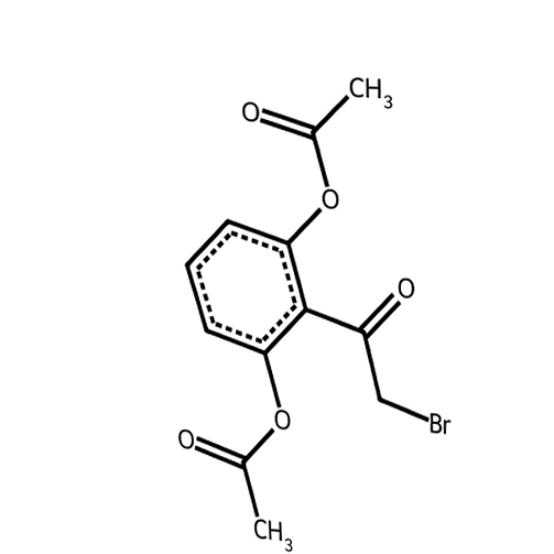 CC(=O)Oc1cccc(OC(C)=O)c1C(=O)CBr